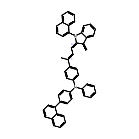 C=c1/c(=C\C=C(/C)c2ccc(N(c3ccccc3)c3ccc(-c4cccc5ccccc45)cc3)cc2)n(-c2cccc3ccccc23)c2ccccc12